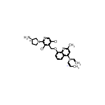 C=CN(/C=C\C)c1cc(C)nc2c(OCc3c(Cl)cnc(N4CC[C@@H](N)C4)c3Cl)cccc12